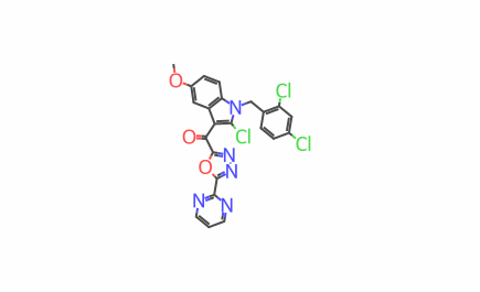 COc1ccc2c(c1)c(C(=O)c1nnc(-c3ncccn3)o1)c(Cl)n2Cc1ccc(Cl)cc1Cl